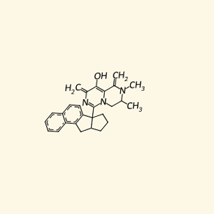 C=C1N=C(C23CCCC2Cc2c3ccc3ccccc23)N2CC(C)N(C)C(=C)C2=C1O